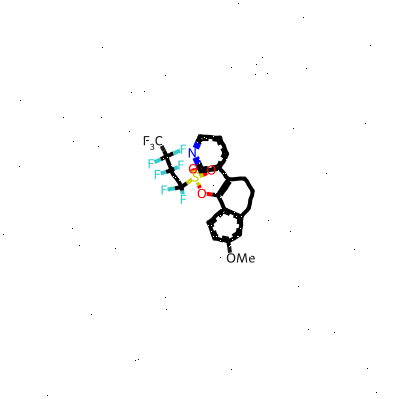 COc1ccc2c(c1)CCCC(c1cccnc1)=C2OS(=O)(=O)C(F)(F)C(F)(F)C(F)(F)C(F)(F)F